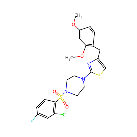 COc1ccc(Cc2csc(N3CCN(S(=O)(=O)c4ccc(F)cc4Cl)CC3)n2)c(OC)c1